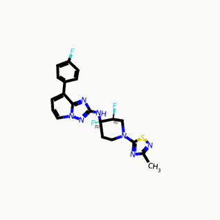 Cc1nsc(N2CC[C@@](F)(Nc3nc4c(-c5ccc(F)cc5)cccn4n3)[C@@H](F)C2)n1